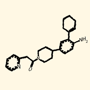 Nc1ccc(C2CCN(C(=O)Cc3ccccn3)CC2)cc1C1=CCCCC1